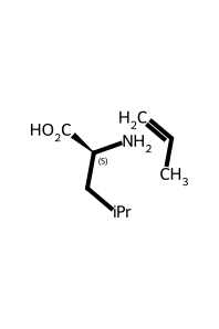 C=CC.CC(C)C[C@H](N)C(=O)O